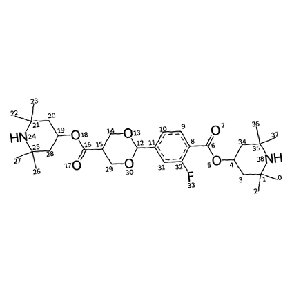 CC1(C)CC(OC(=O)c2ccc(C3OCC(C(=O)OC4CC(C)(C)NC(C)(C)C4)CO3)cc2F)CC(C)(C)N1